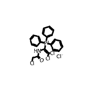 O=C(CCl)NC(=C(Cl)Cl)[P+](c1ccccc1)(c1ccccc1)c1ccccc1.[Cl-]